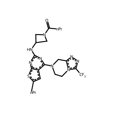 CCCC(=O)N1CC(Nc2nc(N3CCn4c(nnc4C(F)(F)F)C3)c3cc(CCC)sc3n2)C1